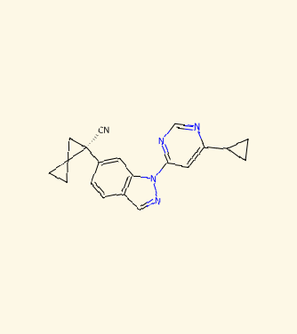 N#C[C@@]1(c2ccc3cnn(-c4cc(C5CC5)ncn4)c3c2)CC12CC2